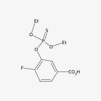 CCOP(=S)(OCC)Oc1cc(C(=O)O)ccc1F